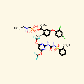 COC(=O)c1cc(Oc2ccc(Cl)cc2Cl)ccc1[N+](=O)[O-].O=C(Nc1nc(OC(F)F)cc(OC(F)F)n1)NS(=O)(=O)c1ccccc1C(=O)O.O=C(O)CNCP(=O)(O)O